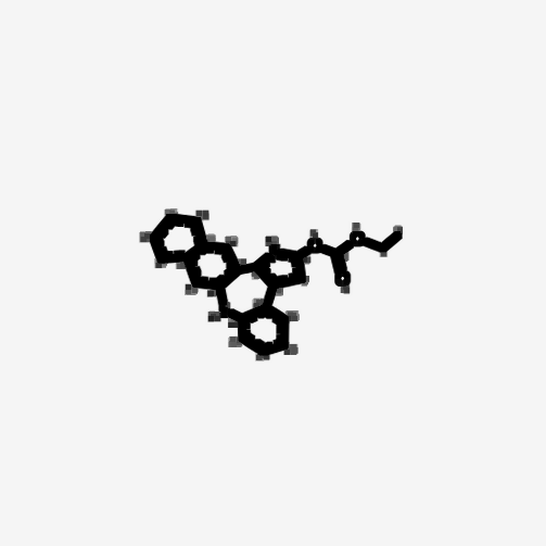 CCOC(=O)Oc1cc2c(s1)-c1cc3ccccc3cc1Sc1ccccc1-2